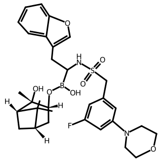 CC1(C)[C@@H]2C[C@@H](OB(O)C(Cc3coc4ccccc34)NS(=O)(=O)Cc3cc(F)cc(N4CCOCC4)c3)[C@@](C)(O)[C@H]1C2